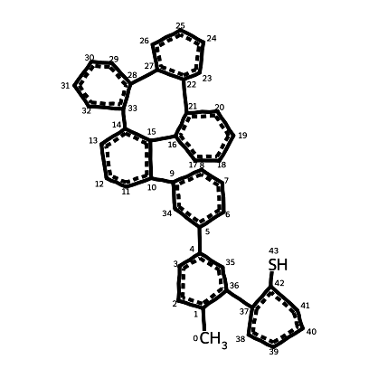 Cc1ccc(-c2cccc(-c3cccc4c3-c3ccccc3-c3ccccc3-c3ccccc3-4)c2)cc1-c1ccccc1S